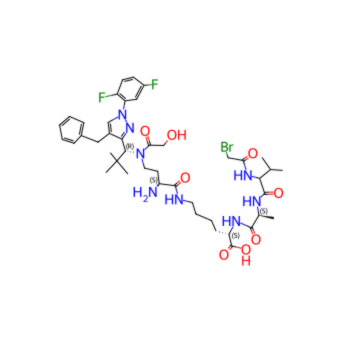 CC(C)C(NC(=O)CBr)C(=O)N[C@@H](C)C(=O)N[C@@H](CCCCNC(=O)[C@@H](N)CCN(C(=O)CO)[C@@H](c1nn(-c2cc(F)ccc2F)cc1Cc1ccccc1)C(C)(C)C)C(=O)O